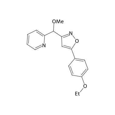 CCOc1ccc(-c2cc(C(OC)c3ccccn3)no2)cc1